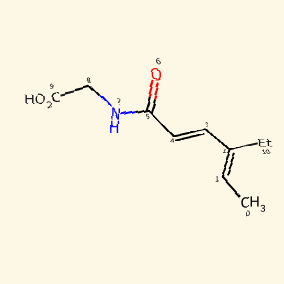 CC=C(C=CC(=O)NCC(=O)O)CC